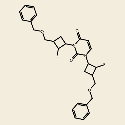 O=c1ccn(C2CC(COCc3ccccc3)C2F)c(=O)n1C1CC(COCc2ccccc2)C1F